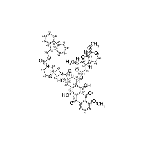 COc1cccc2c1C(=O)c1c(O)c3c(c(O)c1C2=O)C[C@@](O)(C(=O)N1CC2(CN(C(=O)OCC4c5ccccc5-c5ccccc54)CCO2)C1)C[C@@H]3O[C@H]1C[C@H]2[C@H](O[C@@H]3[C@@H](OC)OCCN32)[C@H](C)O1